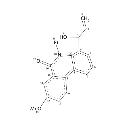 C=CC(O)c1cccc2c3ccc(OC)cc3c(=O)n(CC)c12